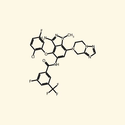 Cn1nc(N)c2c(Oc3cc(F)ccc3Cl)c(NC(=O)c3cc(F)cc(C(F)(F)F)c3)cc(N3CCn4ncnc4C3)c21